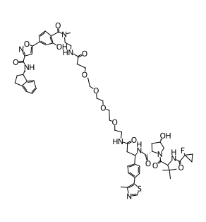 Cc1ncsc1-c1ccc(C(CC(=O)NCCOCCOCCOCCOCCC(=O)NCCN(C)C(=O)c2ccc(-c3cc(C(=O)N[C@@H]4CCc5ccccc54)no3)cc2O)NC(=O)[C@@H]2C[C@@H](O)CN2C(=O)C(NC(=O)C2(F)CC2)C(C)(C)C)cc1